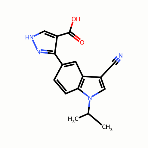 CC(C)n1cc(C#N)c2cc(-c3n[nH]cc3C(=O)O)ccc21